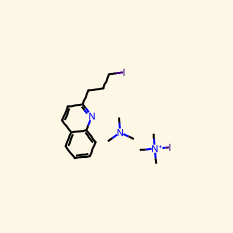 CN(C)C.C[N+](C)(C)I.ICCCc1ccc2ccccc2n1